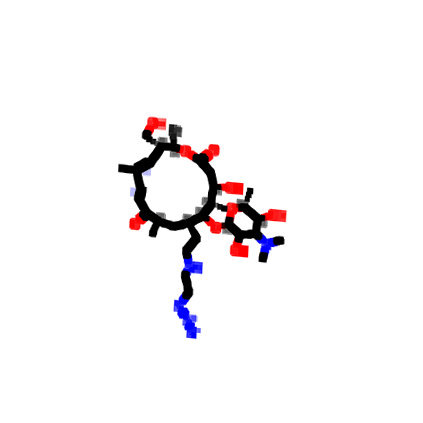 CC[C@H]1OC(=O)C[C@@H](O)[C@H](C)[C@@H](O[C@@H]2O[C@H](C)[C@@H](O)C(N(C)C)C2O)[C@@H](CCNCCN=[N+]=[N-])C[C@@H](C)C(=O)/C=C/C(C)=C/[C@@H]1CO